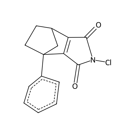 O=C1C2=C(C(=O)N1Cl)C1(c3ccccc3)CCC2C1